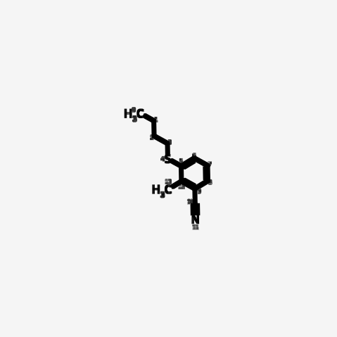 CCCCSc1cccc(C#N)c1C